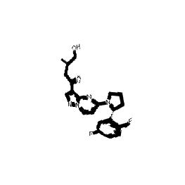 C[C@@H](CO)CC(=O)c1cnn2ccc(N3CCC[C@@H]3c3cc(F)ccc3F)nc12